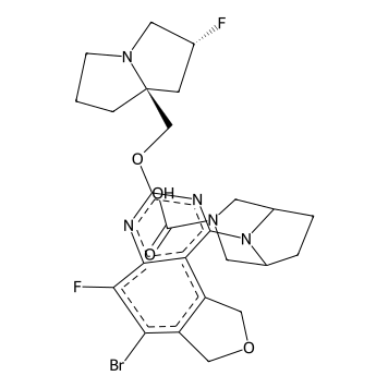 O=C(O)N1CC2CCC(C1)N2c1nc(OC[C@@]23CCCN2C[C@H](F)C3)nc2c(F)c(Br)c3c(c12)COC3